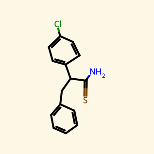 NC(=S)C(Cc1ccccc1)c1ccc(Cl)cc1